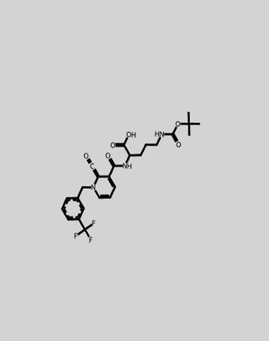 CC(C)(C)OC(=O)NCCCC(NC(=O)C1=CC=CN(Cc2cccc(C(F)(F)F)c2)C1=C=O)C(=O)O